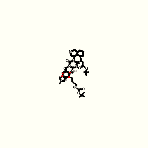 Cn1cc2c(CCCNC(=O)OC(C)(C)C)c(Nc3nc(=O)n(-c4cncc5cccc(CCC(=O)OC(C)(C)C)c45)c(=O)n3Cc3cc(F)c(F)cc3F)c(Cl)cc2n1